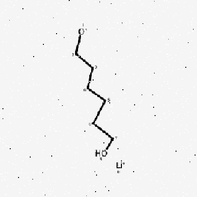 [Li+].[O-]CCCCCCO